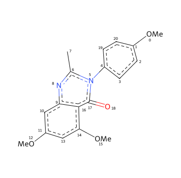 COc1ccc(-n2c(C)nc3cc(OC)cc(OC)c3c2=O)cc1